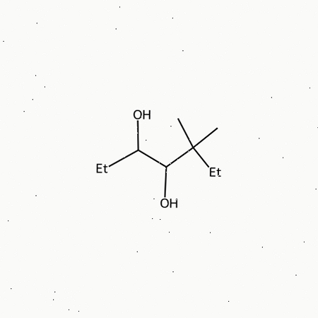 CCC(O)C(O)C(C)(C)CC